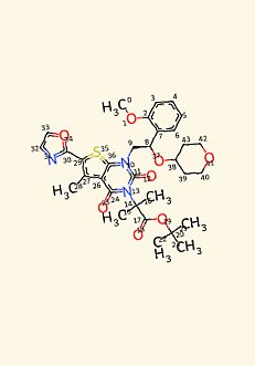 COc1ccccc1[C@H](Cn1c(=O)n(C(C)(C)C(=O)OC(C)(C)C)c(=O)c2c(C)c(-c3ncco3)sc21)OC1CCOCC1